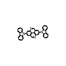 c1ccc2c(c1)c1ccccc1n2-c1cc2cnc3cc(-n4c5ccccc5c5ccccc54)cc4cnc(c1)c2c43